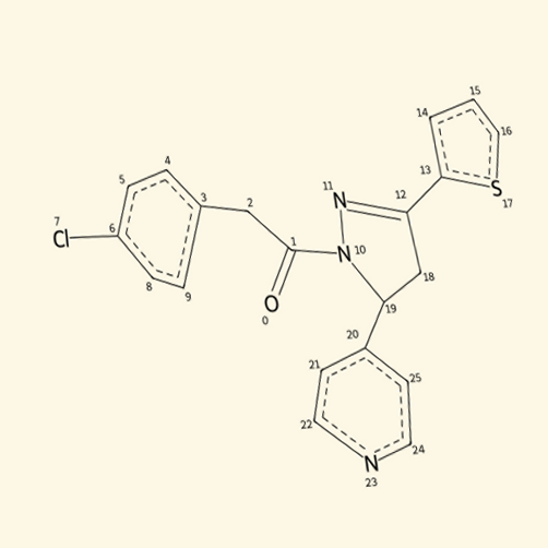 O=C(Cc1ccc(Cl)cc1)N1N=C(c2cccs2)CC1c1ccncc1